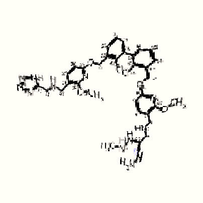 CNN/C(CNCc1ccc(OCc2cccc(-c3cccc(COc4ccc(CNCc5nnn[nH]5)c(OC)n4)c3Cl)c2Cl)nc1OC)=N\N